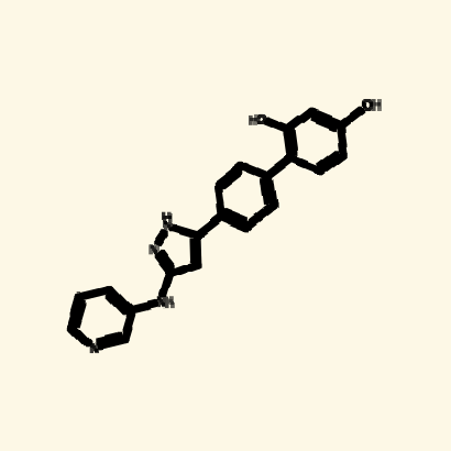 Oc1ccc(-c2ccc(-c3cc(Nc4cccnc4)n[nH]3)cc2)c(O)c1